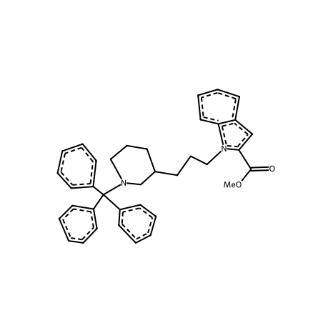 COC(=O)c1cc2ccccc2n1CCCC1CCCN(C(c2ccccc2)(c2ccccc2)c2ccccc2)C1